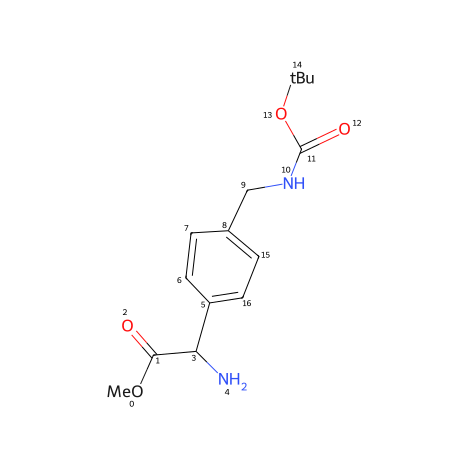 COC(=O)C(N)c1ccc(CNC(=O)OC(C)(C)C)cc1